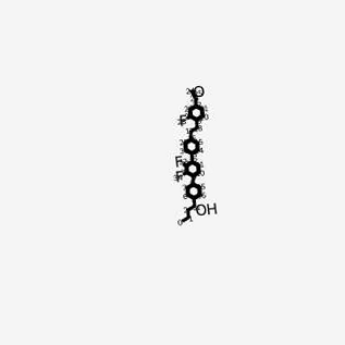 CCCC(O)c1ccc(-c2ccc(-c3ccc(CCc4ccc(C5CO5)cc4F)cc3)c(F)c2F)cc1